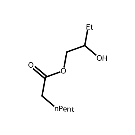 CCCCCCC(=O)OCC(O)CC